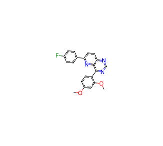 COc1ccc(-c2ncnc3ccc(-c4ccc(F)cc4)nc23)c(OC)c1